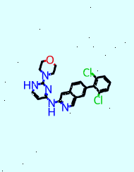 Clc1cccc(Cl)c1-c1ccc2cc(NC3=NC(N4CCOCC4)NC=C3)ncc2c1